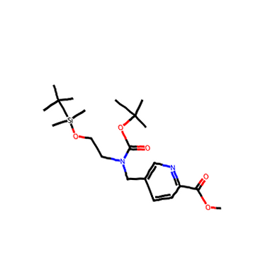 COC(=O)c1ccc(CN(CCO[Si](C)(C)C(C)(C)C)C(=O)OC(C)(C)C)cn1